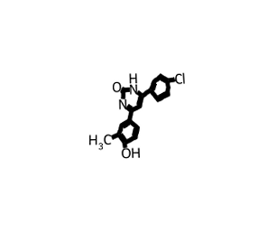 Cc1cc(-c2cc(-c3ccc(Cl)cc3)[nH]c(=O)n2)ccc1O